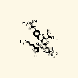 CCCCc1n[nH]cc1S(=O)(=O)N(C(=O)[C@H]1NC(C)(C)CS1)[C@@H](Cc1ccc(OC(=O)N(C)C)cc1)C(=O)OC(C)C